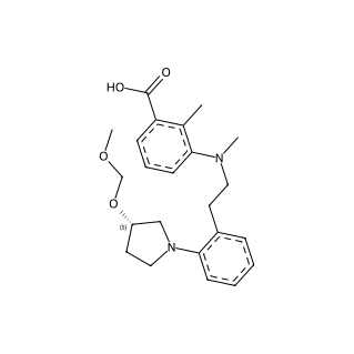 COCO[C@H]1CCN(c2ccccc2CCN(C)c2cccc(C(=O)O)c2C)C1